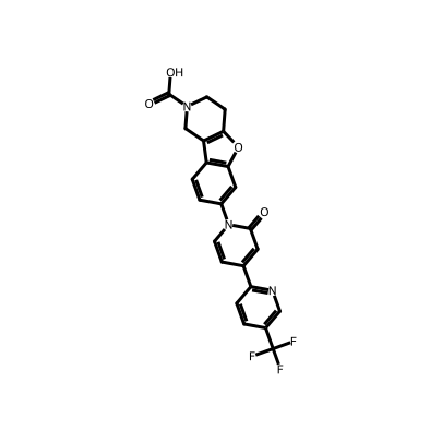 O=C(O)N1CCc2oc3cc(-n4ccc(-c5ccc(C(F)(F)F)cn5)cc4=O)ccc3c2C1